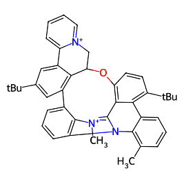 Cc1cccc2c3c(C(C)(C)C)ccc4c3c3n(c5cccc(c5[n+]3C)-c3cc(C(C)(C)C)cc5c3C(C[n+]3ccccc3-5)O4)c12